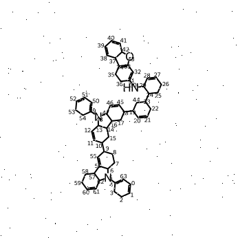 C1=CCCC(N2C3CCC(C4C=CC5C(C4)C4CC(C6C=CCC(C7CCC=CC7NC7=CC8=C(CC7)C7C=CC=CC7O8)C6)C=CC4N5C4=CC=CCC4)C=C3C3CCC=CC32)=C1